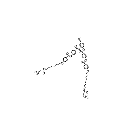 C=CC(=O)OCCCCCCCCOc1ccc(C(=O)Oc2ccc(C(=O)Oc3ccc(C#N)cc3OC(=O)c3ccc(OC(=O)c4ccc(OCCCCCCCCOC(=O)C=C)cc4)cc3)cc2)cc1